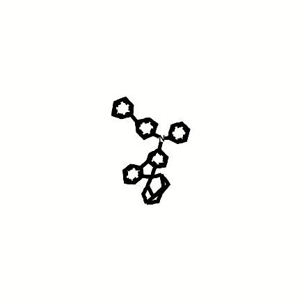 c1ccc(-c2ccc(N(c3ccccc3)c3ccc4c(c3)-c3ccccc3C43C4CC5CC(C4)CC3C5)cc2)cc1